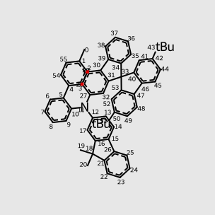 Cc1ccc(-c2ccccc2N(c2ccc3c(c2)C(C)(C)c2ccccc2-3)c2ccc3c(c2)C2(c4ccccc4-3)c3cc(C(C)(C)C)ccc3-c3ccc(C(C)(C)C)cc32)cc1